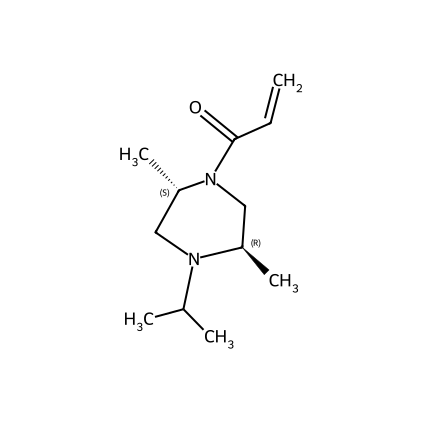 C=CC(=O)N1C[C@@H](C)N(C(C)C)C[C@@H]1C